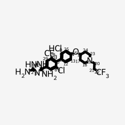 Cl.NC1=NC(N)(c2cc(Cl)c(-c3ccc(OC4CCN(CCC(F)(F)F)CC4)cc3)c(C(F)(F)F)c2)NN1